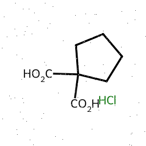 Cl.O=C(O)C1(C(=O)O)CCCC1